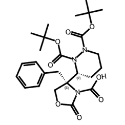 CC(C)(C)OC(=O)N1CCC[C@H]([C@]2(Cc3ccccc3)COC(=O)N2C(=O)O)N1C(=O)OC(C)(C)C